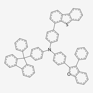 c1ccc(-c2c(-c3ccc(N(c4ccc(-c5cccc6c5sc5ccccc56)cc4)c4ccc(C5(c6ccccc6)c6ccccc6-c6ccccc65)cc4)cc3)oc3ccccc23)cc1